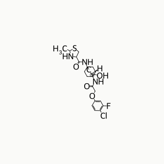 CC1NC(C(=O)NC23CCC(NC(=O)COc4ccc(Cl)c(F)c4)(CC2)[C@@H](O)C3)CS1